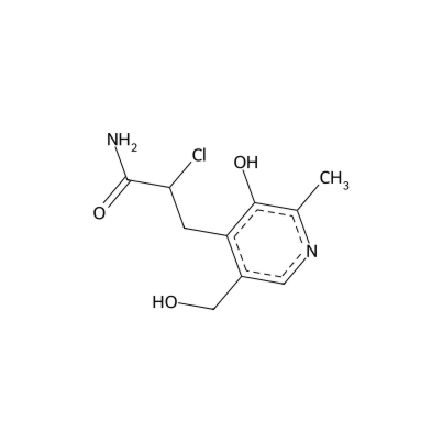 Cc1ncc(CO)c(CC(Cl)C(N)=O)c1O